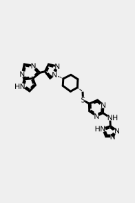 c1nc(-c2cnn([C@H]3CC[C@@H](CSc4cnc(Nc5nnc[nH]5)nc4)CC3)c2)c2cc[nH]c2n1